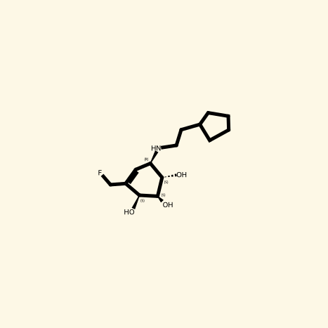 O[C@@H]1[C@@H](O)[C@@H](O)C(CF)=C[C@H]1NCCC1CCCC1